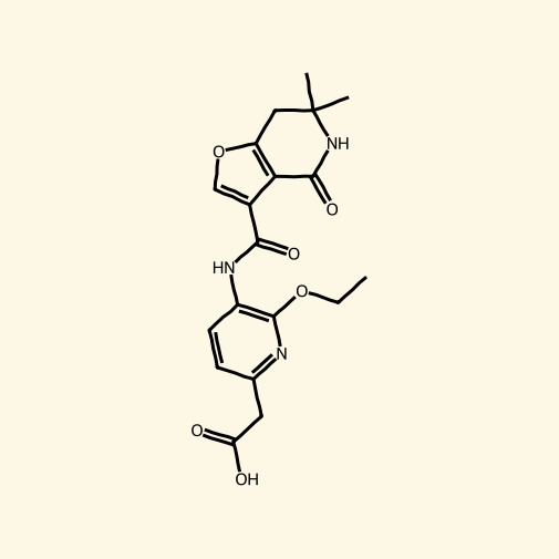 CCOc1nc(CC(=O)O)ccc1NC(=O)c1coc2c1C(=O)NC(C)(C)C2